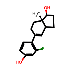 C[C@]12CCC(c3ccc(O)cc3F)=CC1CC[C@@H]2O